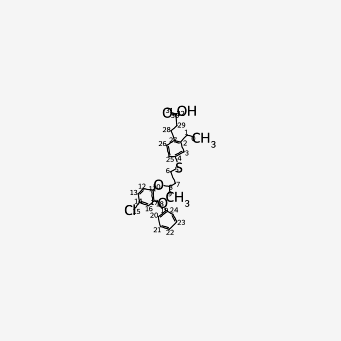 CCc1cc(SCCC(C)Oc2ccc(Cl)cc2Oc2ccccc2)ccc1CCC(=O)O